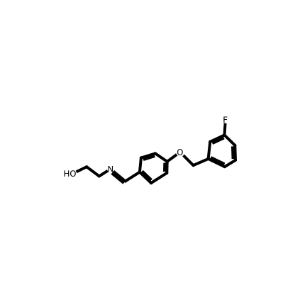 OCCN=Cc1ccc(OCc2cccc(F)c2)cc1